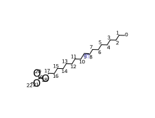 CCCCCCCC/C=C/CCCCCCCCOC(=O)OC